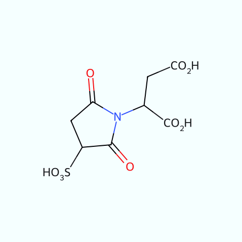 O=C(O)CC(C(=O)O)N1C(=O)CC(S(=O)(=O)O)C1=O